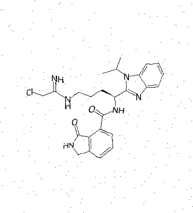 CC(C)n1c([C@H](CCCNC(=N)CCl)NC(=O)c2cccc3c2C(=O)NC3)nc2ccccc21